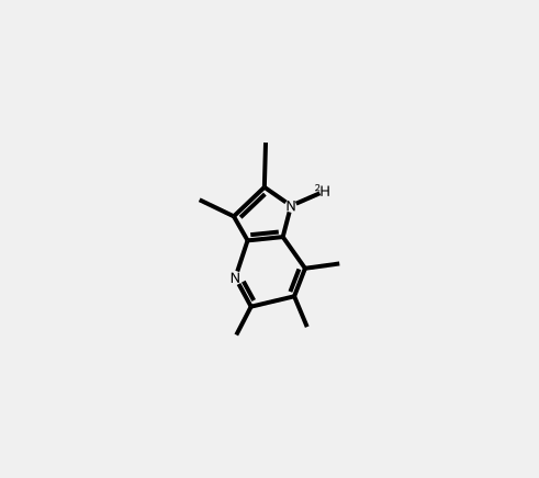 [2H]n1c(C)c(C)c2nc(C)c(C)c(C)c21